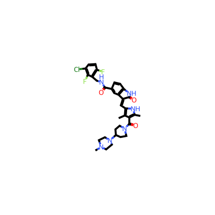 Cc1[nH]c(/C=C2\C(=O)Nc3ccc(C(=O)NCc4c(F)ccc(Cl)c4F)cc32)c(C)c1C(=O)N1CCC(N2CCN(C)CC2)CC1